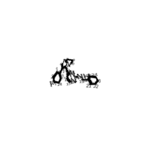 Fc1ccc(C2=CN3CCCN3C2c2ccnc(NCc3ccccc3)n2)cc1